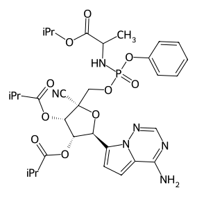 CC(C)OC(=O)C(C)NP(=O)(OC[C@@]1(C#N)O[C@@H](c2ccc3c(N)ncnn23)[C@H](OC(=O)C(C)C)[C@@H]1OC(=O)C(C)C)Oc1ccccc1